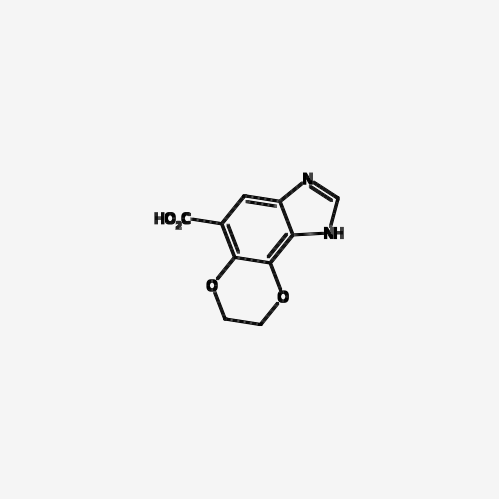 O=C(O)c1cc2nc[nH]c2c2c1OCCO2